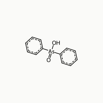 O=[As](O)(c1ccccc1)c1ccccc1